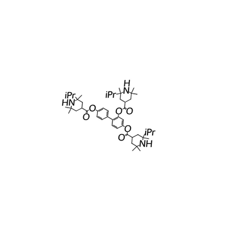 CC(C)C1(C)CC(C(=O)Oc2ccc(-c3ccc(OC(=O)C4CC(C)(C)NC(C)(C(C)C)C4)cc3OC(=O)C3CC(C)(C)NC(C)(C(C)C)C3)cc2)CC(C)(C)N1